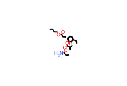 C=C(C)C(=O)O.C=CC(=O)OCCCC.C=CC(N)=O.C=Cc1ccccc1